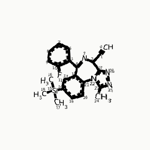 C#CC1N=C(c2ccccc2F)c2cc([Si](C)(C)C)ccc2-n2c(C)nnc21